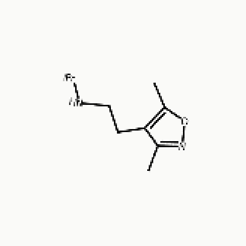 Cc1noc(C)c1CCNC(C)C